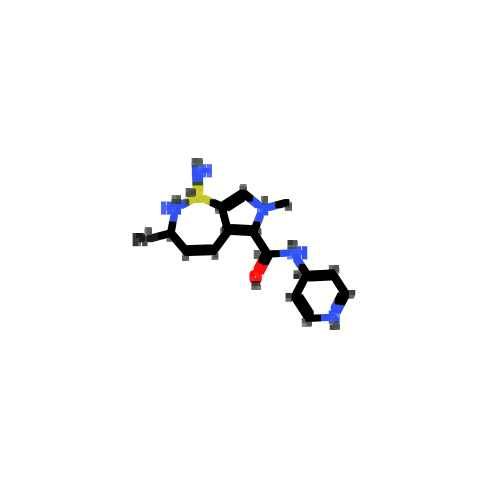 CC(C)C1C=Cc2c(cn(C)c2C(=O)Nc2ccncc2)S(=N)N1